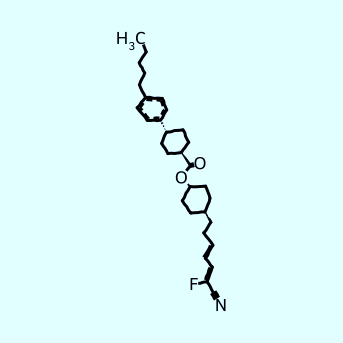 CCCCCc1ccc([C@H]2CC[C@H](C(=O)O[C@H]3CC[C@H](CCC=CC=C(F)C#N)CC3)CC2)cc1